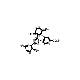 O=C(O)c1ccc(-n2nc(-c3cc(F)ccc3O)nc2-c2cc(F)ccc2O)cc1